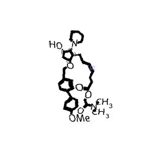 COc1ccc(-c2ccc(CO[C@H]3C[C@H](O)[C@H](N4CCCCC4)[C@H]3CC/C=C\CCC(=O)OCC(=O)N(C)C)cc2)cc1